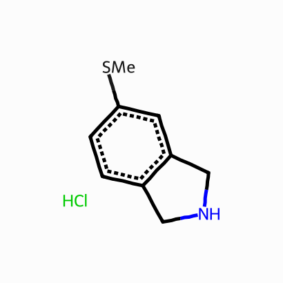 CSc1ccc2c(c1)CNC2.Cl